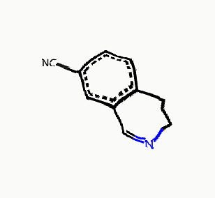 N#Cc1ccc2c(c1)C=NCC2